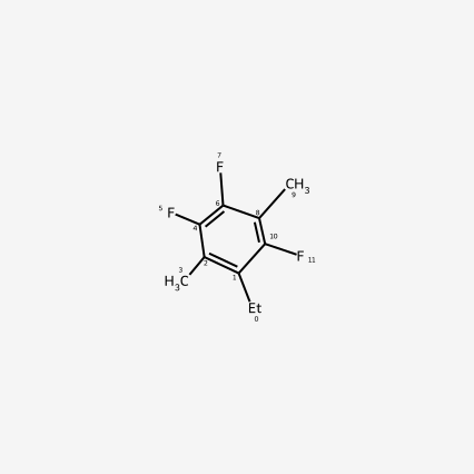 CCc1c(C)c(F)c(F)c(C)c1F